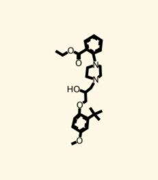 CCOC(=O)c1ccccc1N1CCN(CC(O)COc2ccc(OC)cc2C(C)(C)C)CC1